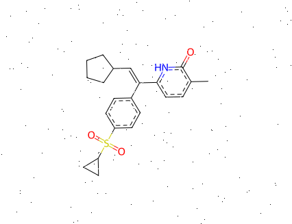 Cc1ccc(C(=CC2CCCC2)c2ccc(S(=O)(=O)C3CC3)cc2)[nH]c1=O